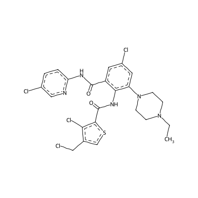 CCN1CCN(c2cc(Cl)cc(C(=O)Nc3ccc(Cl)cn3)c2NC(=O)c2scc(CCl)c2Cl)CC1